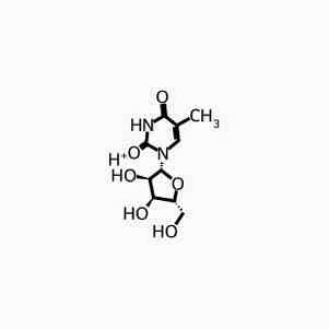 Cc1cn([C@@H]2O[C@H](CO)[C@@H](O)[C@H]2O)c(=O)[nH]c1=O.[H+]